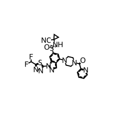 N#CC1(N[S+]([O-])c2cc(N3CCN(C(=O)c4ccccn4)CC3)c3cnn(-c4nnc(C(F)F)s4)c3c2)CC1